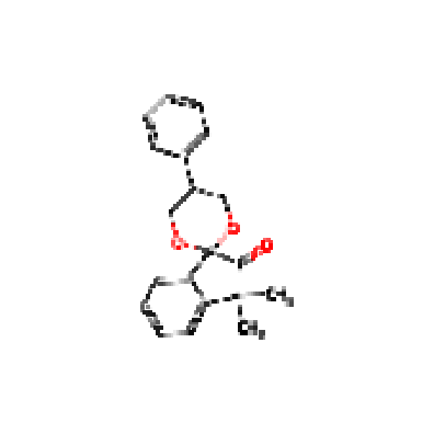 CC1(C)C(=O)C2(OCC(c3ccccc3)CO2)c2ccccc21